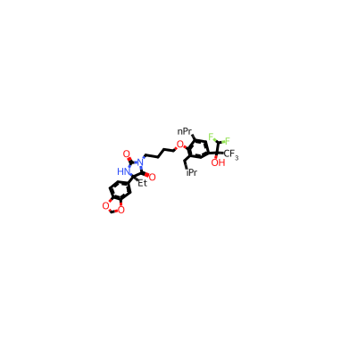 CCCc1cc(C(O)(C(F)F)C(F)(F)F)cc(CC(C)C)c1OCCCCN1C(=O)NC(CC)(c2ccc3c(c2)OCO3)C1=O